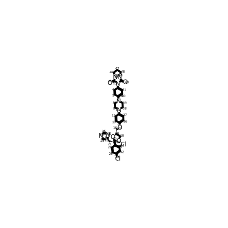 O=c1n(-c2ccc(N3CCN(c4ccc(OC[C@@H]5CO[C@@](Cn6cncn6)(c6ccc(Cl)cc6Cl)O5)cc4)CC3)cc2)c(=O)n2n1CCC2